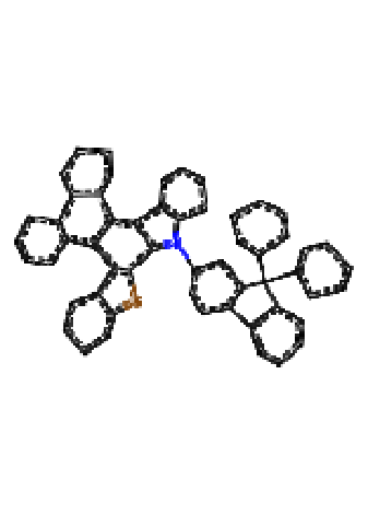 c1ccc(C2(c3ccccc3)c3ccccc3-c3ccc(-n4c5ccccc5c5c6c7ccccc7c7ccccc7c6c6c7ccccc7sc6c54)cc32)cc1